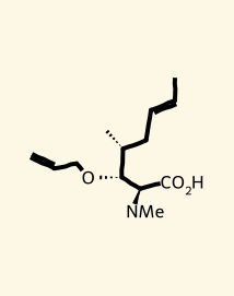 C=CCO[C@H]([C@H](C)CC=CC)[C@H](NC)C(=O)O